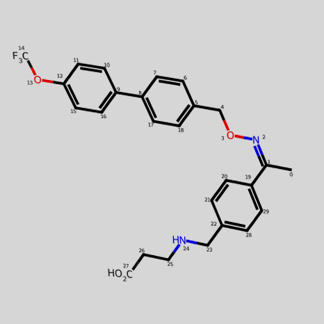 CC(=NOCc1ccc(-c2ccc(OC(F)(F)F)cc2)cc1)c1ccc(CNCCC(=O)O)cc1